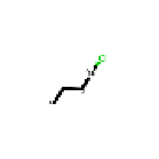 CC[CH2][Ni][Cl]